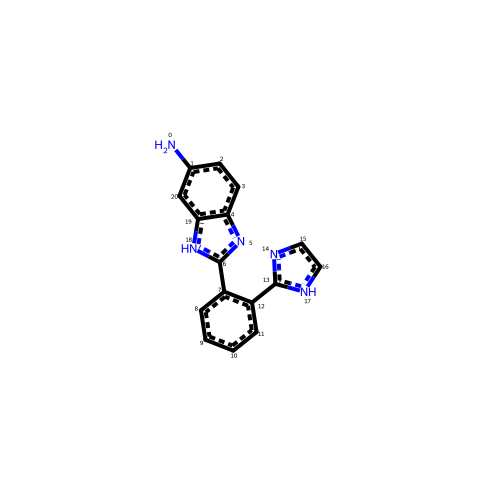 Nc1ccc2nc(-c3ccccc3-c3ncc[nH]3)[nH]c2c1